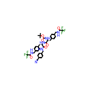 CC(C)(C)OC(=O)N[C@H](Cc1ccc(CNC(=O)C(F)(F)F)cc1)C(=O)N[C@@H](Cc1ccc(CNC(=O)C(F)(F)F)cc1)C(=O)NCc1ccc(C#N)cc1